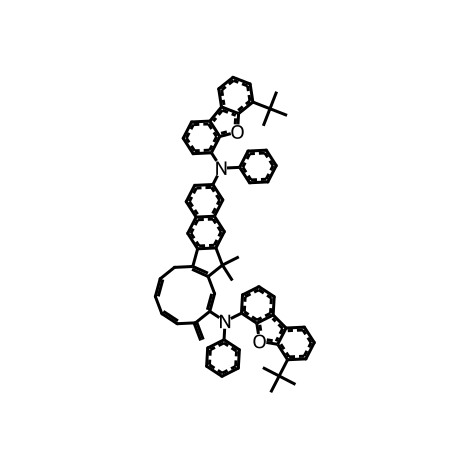 C=C1/C=C\C=C/CC2=C(/C=C\1N(c1ccccc1)c1cccc3c1oc1c(C(C)(C)C)cccc13)C(C)(C)c1cc3cc(N(c4ccccc4)c4cccc5c4oc4c(C(C)(C)C)cccc45)ccc3cc12